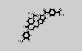 CC(=O)N1CCC(C(=O)N(CCCN2CC3CN(C(=O)c4ccc(C(=O)O)cc4)CC3C2)c2ccc(C)c(Cl)c2)CC1